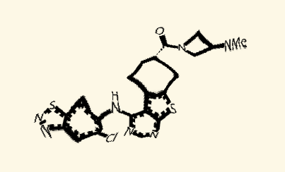 CNC1CN(C(=O)[C@H]2CCc3c(sc4ncnc(Nc5cc6snnc6cc5Cl)c34)C2)C1